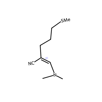 CSCCC/C(C#N)=C/N(C)C